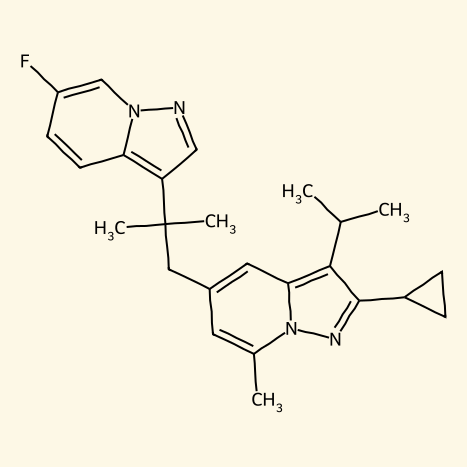 Cc1cc(CC(C)(C)c2cnn3cc(F)ccc23)cc2c(C(C)C)c(C3CC3)nn12